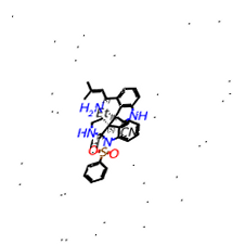 CC[C@]1([C@]23CCN[C@H]2N(S(=O)(=O)c2ccccc2)c2ccccc23)c2c(cccc2[C@H](N)C=C(C)C)N[C@@H]1C#N